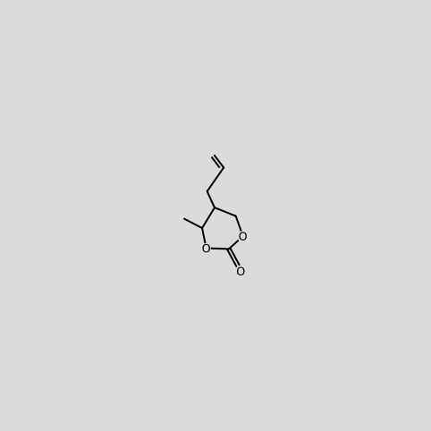 C=CCC1COC(=O)OC1C